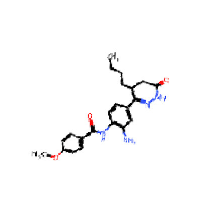 CCCCC1CC(=O)NN=C1c1ccc(NC(=O)c2ccc(OC)cc2)c(N)c1